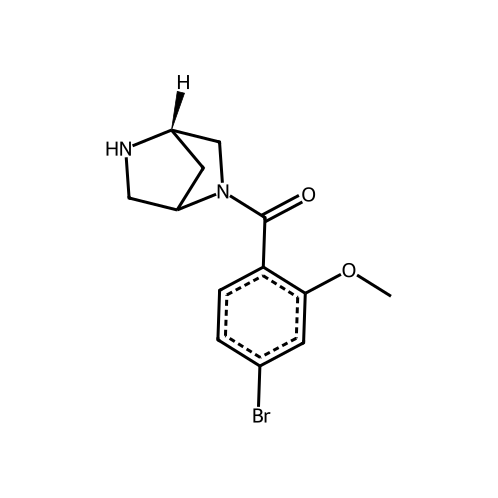 COc1cc(Br)ccc1C(=O)N1C[C@@H]2CC1CN2